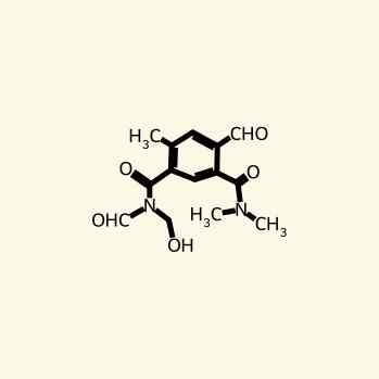 Cc1cc(C=O)c(C(=O)N(C)C)cc1C(=O)N(C=O)CO